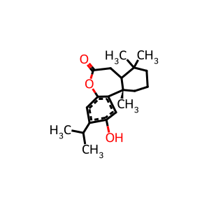 CC(C)c1cc2c(cc1O)[C@@]1(C)CCCC(C)(C)C1CC(=O)O2